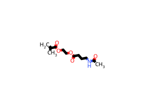 C=C(C)C(=O)OCCOC(=O)CCCNC(C)=O